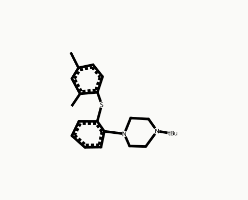 Cc1ccc(Sc2ccccc2N2CCN(C(C)(C)C)CC2)c(C)c1